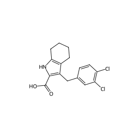 O=C(O)c1[nH]c2c(c1Cc1ccc(Cl)c(Cl)c1)CCCC2